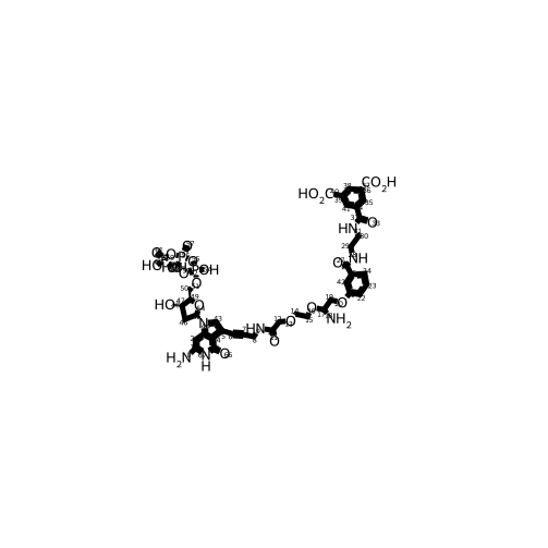 Nc1cc2c(c(C#CCNC(=O)COCCOC(N)COc3cccc(C(=O)NCCNC(=O)c4cc(C(=O)O)cc(C(=O)O)c4)c3)cn2[C@H]2C[C@H](O)[C@@H](COP(=O)(O)OP(=O)(O)OP(=O)(O)O)O2)c(=O)[nH]1